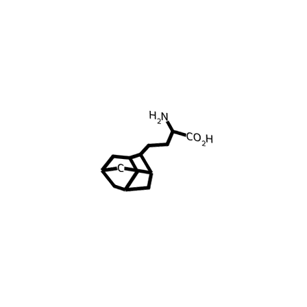 NC(CCC1C2CC3CC(C2)CC1C3)C(=O)O